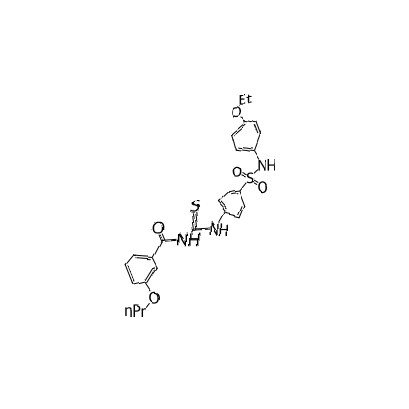 CCCOc1cccc(C(=O)NC(=S)Nc2ccc(S(=O)(=O)Nc3ccc(OCC)cc3)cc2)c1